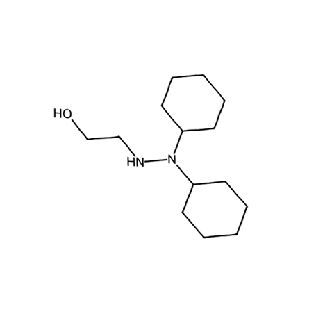 OCCNN(C1CCCCC1)C1CCCCC1